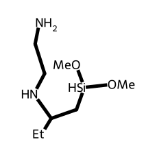 CCC(C[SiH](OC)OC)NCCN